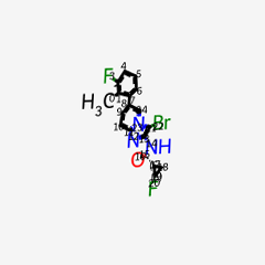 Cc1c(F)cccc1-c1ccc2nc(NC(=O)[C@@H]3C[C@@H]3F)c(Br)n2c1